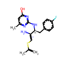 C=C(C)S/C=C(\N)[C@H](Cc1ccc(F)cc1)Nc1nc(C)cc(O)n1